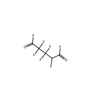 O=C(F)C(F)C(F)(F)C(F)(F)C(=O)F